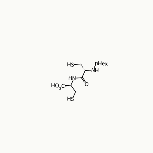 CCCCCCN[C@@H](CS)C(=O)N[C@@H](CS)C(=O)O